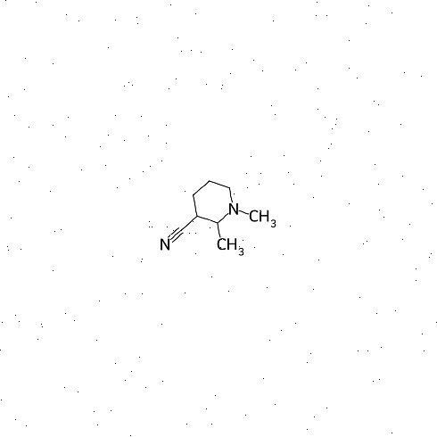 CC1C(C#N)CCCN1C